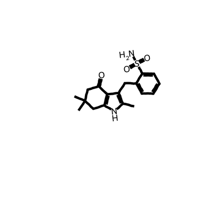 Cc1[nH]c2c(c1Cc1ccccc1S(N)(=O)=O)C(=O)CC(C)(C)C2